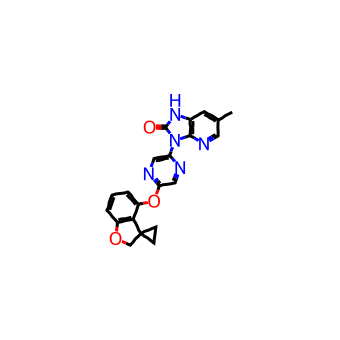 Cc1cnc2c(c1)[nH]c(=O)n2-c1cnc(Oc2cccc3c2C2(CC2)CO3)cn1